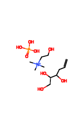 C=CCC(O)C(O)CO.C[N+](C)(C)CCO.O=P(O)(O)O